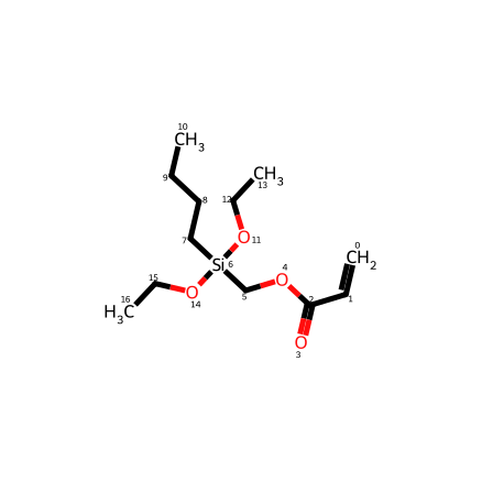 C=CC(=O)OC[Si](CCCC)(OCC)OCC